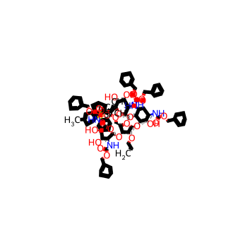 C=CCO[C@H]1[C@H](O[C@@H]2[C@@H](O)[C@H](NC(=O)OCc3ccccc3)C[C@H](NC(=O)OCc3ccccc3)[C@H]2O[C@H]2O[C@H](COS(=O)(=O)c3ccc(C)cc3)[C@@H](O)[C@H](O)[C@H]2NC(=O)OCc2ccccc2)O[C@H](CO[Si](c2ccccc2)(c2ccccc2)C(C)(C)C)[C@H]1O[C@H]1O[C@@H](CNC(=O)OCc2ccccc2)[C@@H](O)[C@H](O)[C@H]1NC(=O)OCc1ccccc1